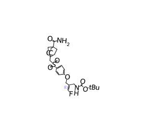 CC(C)(C)OC(=O)NC/C(=C\F)COc1ccc(S(=O)(=O)CC23CCC(C(N)=O)(CC2)CC3)cc1